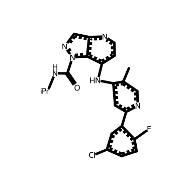 Cc1cnc(-c2cc(Cl)ccc2F)cc1Nc1ccnc2cnn(C(=O)NC(C)C)c12